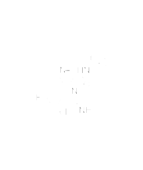 O=C(NCC1(C(F)(F)F)CC1)c1cncc(-c2cc(F)cc(Cl)c2)c1N1CCC2(CCN2)C1